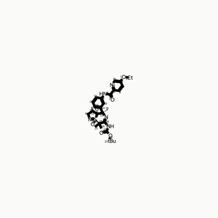 CCOc1ccc(C(=O)Nc2ccc(F)c([C@@]3(C)N=C(NC(=O)OC(C)(C)C)C(C)(C)[S@@]4(=O)=NCC[C@@H]34)c2)nc1